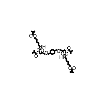 C=C(C)C(=O)OCCCCCNC(=O)OC(COCC1CCC(COCC(COC(=O)C(=C)C)OC(=O)NCCCCCOC(=O)C(=C)C)CC1)COC(=O)C(=C)C